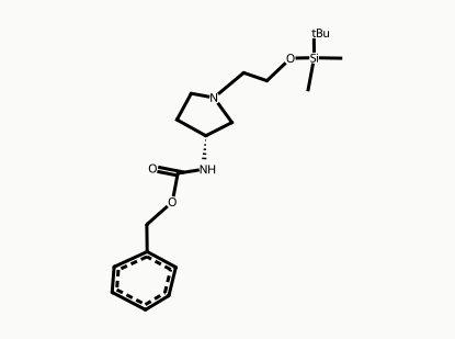 CC(C)(C)[Si](C)(C)OCCN1CC[C@@H](NC(=O)OCc2ccccc2)C1